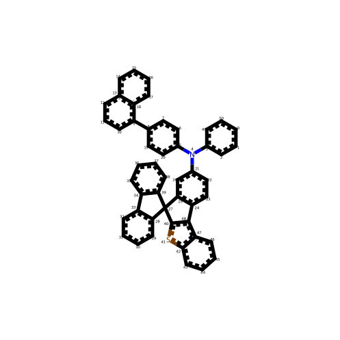 c1ccc(N(c2ccc(-c3cccc4ccccc34)cc2)c2ccc3c(c2)C2(c4ccccc4-c4ccccc42)c2sc4ccccc4c2-3)cc1